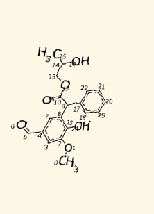 COc1cc(C=O)cc(C(C(=O)OCC(C)O)c2ccccc2)c1O